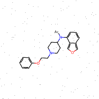 CC(=O)N(c1cccc2cocc12)C1CCN(CCOc2ccccc2)CC1